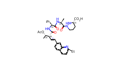 CCc1ccc2ccc(/C=C/[C@@H](C(=O)N[C@H](C(=O)N[C@@H](C)C(=O)N3CCC[C@@H](C(=O)O)N3)C(C)C)[C@H](C)OC(C)=O)cc2n1